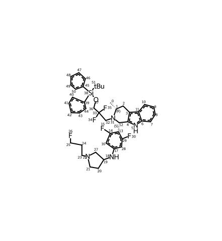 C[C@@H]1Cc2c([nH]c3ccccc23)[C@H](c2c(F)cc(NC3CCN(CCCF)C3)cc2F)N1CC(F)(F)CO[Si](c1ccccc1)(c1ccccc1)C(C)(C)C